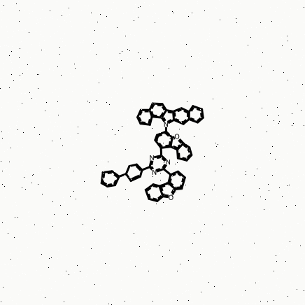 C1=CC(c2ccccc2)CC=C1c1nc(-c2cccc3oc4ccccc4c23)nc(-c2ccc(-n3c4cc5ccccc5cc4c4ccc5ccccc5c43)c3oc4ccccc4c23)n1